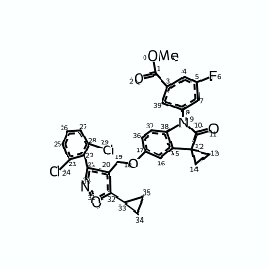 COC(=O)c1cc(F)cc(N2C(=O)C3(CC3)c3cc(OCc4c(-c5c(Cl)cccc5Cl)noc4C4CC4)ccc32)c1